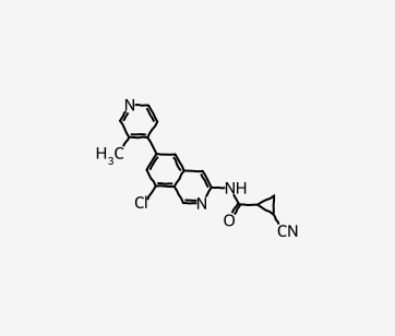 Cc1cnccc1-c1cc(Cl)c2cnc(NC(=O)C3CC3C#N)cc2c1